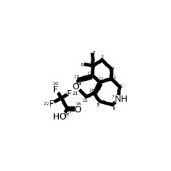 CC1(C)CCC2CNCCC3=C2C1=COC3.O=C(O)C(F)(F)F